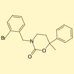 CC1(c2ccccc2)CCN(Cc2ccccc2Br)C(=O)O1